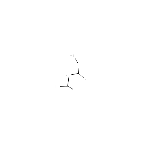 CCOC(CC)OC([O])CC